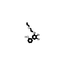 Brc1cccc(Br)c1Br.C=CCOCC=C.Oc1ccccc1